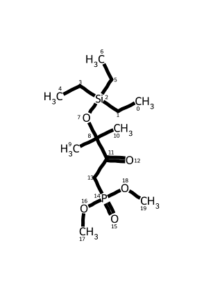 CC[Si](CC)(CC)OC(C)(C)C(=O)CP(=O)(OC)OC